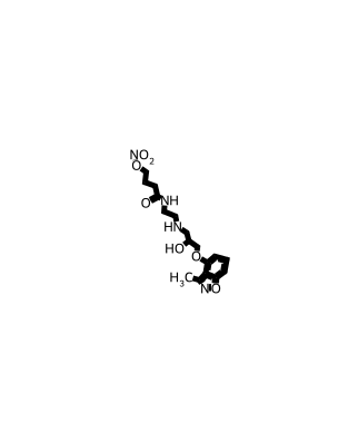 Cc1noc2cccc(OCC(O)CNCCNC(=O)CCCO[N+](=O)[O-])c12